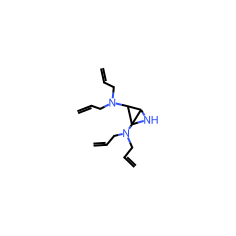 C=CCN(CC=C)C1C2NC21N(CC=C)CC=C